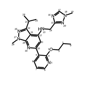 CCCOc1ncccc1-c1cc(NCc2ncn(C)n2)c2c(C(C)C)nn(C)c2n1